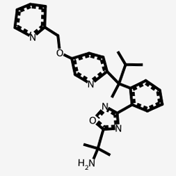 CC(C)C(C)(c1ccc(OCc2ccccn2)cn1)c1ccccc1-c1noc(C(C)(C)N)n1